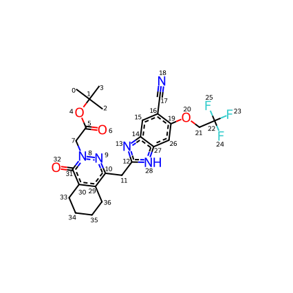 CC(C)(C)OC(=O)Cn1nc(Cc2nc3cc(C#N)c(OCC(F)(F)F)cc3[nH]2)c2c(c1=O)CCCC2